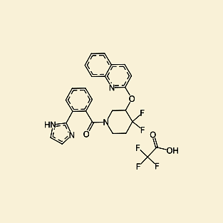 O=C(O)C(F)(F)F.O=C(c1ccccc1-c1ncc[nH]1)N1CCC(F)(F)C(Oc2ccc3ccccc3n2)C1